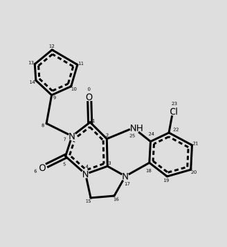 O=c1c2c3n(c(=O)n1Cc1ccccc1)CCN3c1cccc(Cl)c1N2